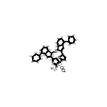 Cc1ccc(C2=Cc3c(-c4ccccc4)cccc3[CH]2[Zr+2][CH]2C(c3ccc(C)s3)=Cc3c(-c4ccccc4)cccc32)s1.[Cl-].[Cl-]